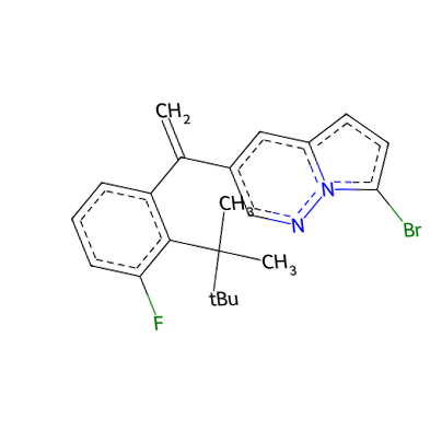 C=C(c1cnn2c(Br)ccc2c1)c1cccc(F)c1C(C)(C)C(C)(C)C